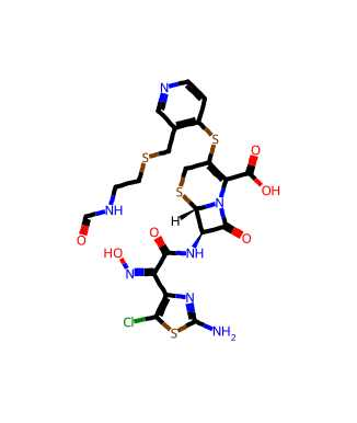 Nc1nc(/C(=N/O)C(=O)N[C@@H]2C(=O)N3C(C(=O)O)=C(Sc4ccncc4CSCCNC=O)CS[C@@H]23)c(Cl)s1